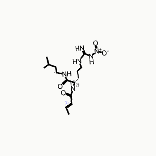 C/C=C/C(=O)N[C@@H](CCCNC(=N)N[N+](=O)[O-])C(=O)N[CH]CC(C)C